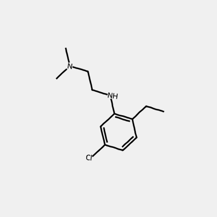 CCc1ccc(Cl)cc1NCCN(C)C